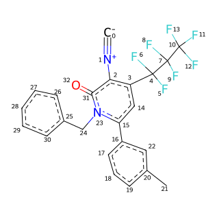 [C-]#[N+]c1c(C(F)(F)C(F)(F)C(F)(F)F)cc(-c2cccc(C)c2)n(Cc2ccccc2)c1=O